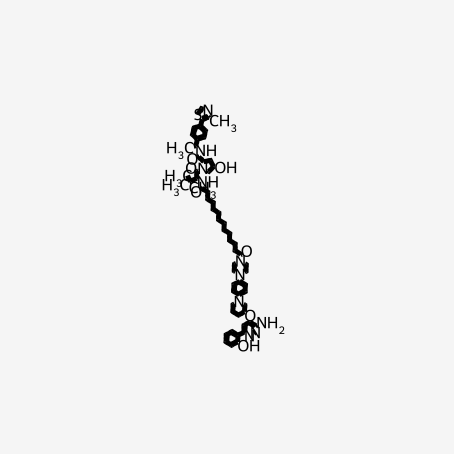 Cc1ncsc1-c1ccc(C(C)NC(=O)C2CC(O)CN2C(=O)C(NC(=O)CCCCCCCCCCCCC(=O)N2CCN(c3ccc(N4CCCC(Oc5cc(-c6ccccc6O)nnc5N)C4)cc3)CC2)C(C)(C)C)cc1